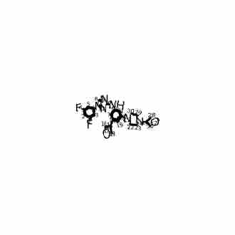 Fc1cc(F)cc(-n2cnc(Nc3cc(C4COC4)cc(N4CCN(C5COC5)CC4)c3)n2)c1